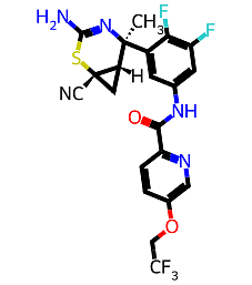 C[C@@]1(c2cc(NC(=O)c3ccc(OCC(F)(F)F)cn3)cc(F)c2F)N=C(N)S[C@@]2(C#N)C[C@@H]12